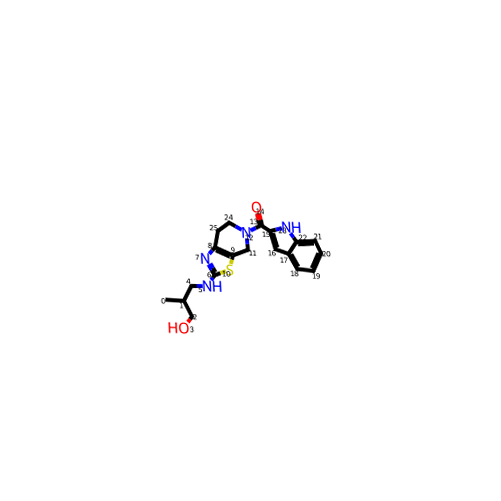 CC(CO)CNc1nc2c(s1)CN(C(=O)c1cc3ccccc3[nH]1)CC2